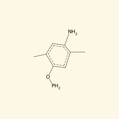 Cc1cc(OP)c(C)cc1N